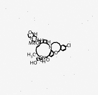 CO[C@]1(CN2CCN3CCOC[C@@H]3C2)/C=C/C[C@H](C)[C@@H](CCO)S(=O)(=O)NC(=O)c2ccc3c(c2)N(CCCCc2cc(Cl)ccc2CO3)C[C@@H]2CC[C@H]21